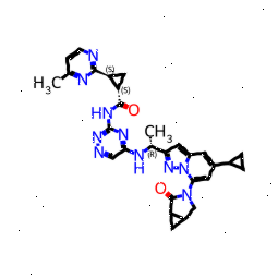 Cc1ccnc([C@H]2C[C@@H]2C(=O)Nc2nncc(N[C@H](C)c3cc4cc(C5CC5)cc(N5CC6CC6C5=O)n4n3)n2)n1